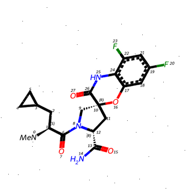 CN[C@@H](CC1CC1)C(=O)N1C[C@@]2(C[C@@H]1C(N)=O)Oc1cc(F)cc(F)c1NC2=O